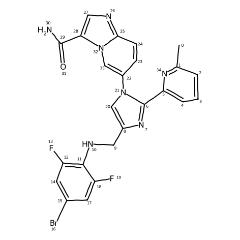 Cc1cccc(-c2nc(CNc3c(F)cc(Br)cc3F)cn2-c2ccc3ncc(C(N)=O)n3c2)n1